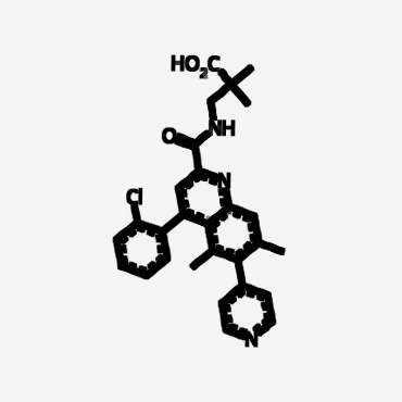 Cc1cc2nc(C(=O)NCC(C)(C)C(=O)O)cc(-c3ccccc3Cl)c2c(C)c1-c1ccncc1